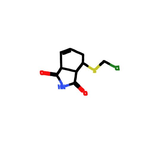 O=C1NC(=O)C2C(SCCl)CC=CC12